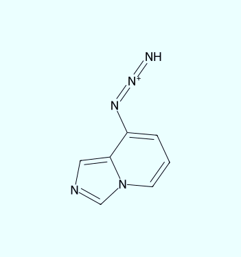 N=[N+]=Nc1cccn2cncc12